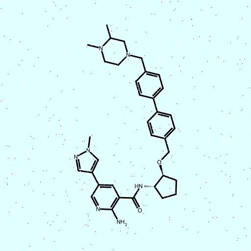 CC1CN(Cc2ccc(-c3ccc(CO[C@H]4CCC[C@@H]4NC(=O)c4cc(-c5cnn(C)c5)cnc4N)cc3)cc2)CCN1C